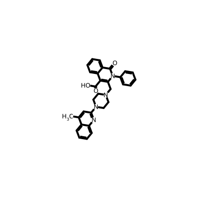 Cc1cc(N2CCN(Cc3c(C(=O)O)c4ccccc4c(=O)n3-c3ccccc3)CC2)nc2ccccc12